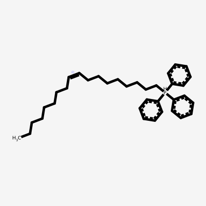 CCCCCCCC/C=C\CCCCCCCC[PH](c1ccccc1)(c1ccccc1)c1ccccc1